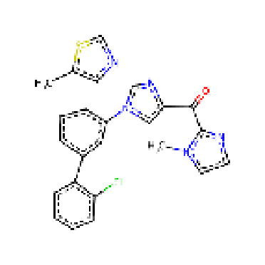 Cc1cncs1.Cn1ccnc1C(=O)c1cn(-c2cccc(-c3ccccc3Cl)c2)cn1